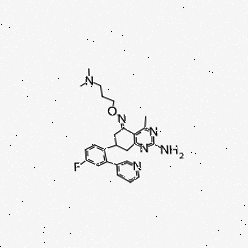 Cc1nc(N)nc2c1C(=NOCCCN(C)C)CC(c1ccc(F)cc1-c1cccnc1)C2